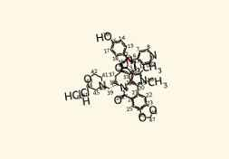 Cc1c(C(=O)N(c2ccncc2)c2ccc(O)cc2)cc(-c2cc3c(cc2C(=O)N2Cc4ccccc4C[C@H]2CN2CCOCC2)OCO3)n1C.Cl.Cl